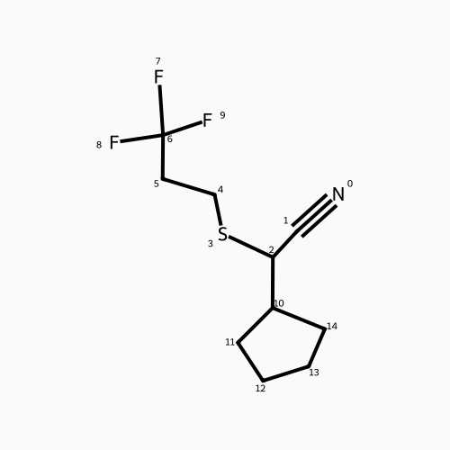 N#CC(SCCC(F)(F)F)C1CCCC1